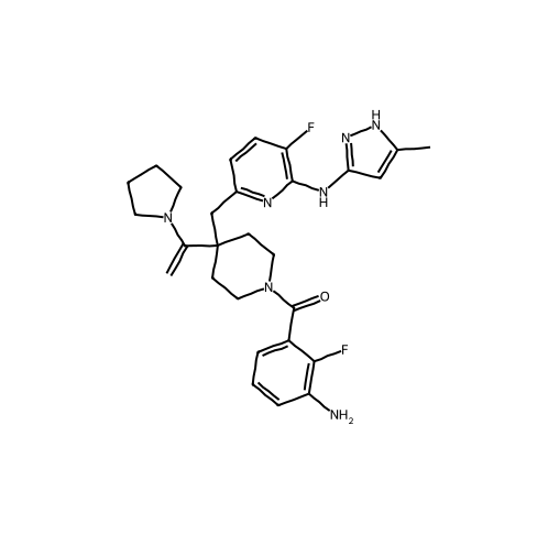 C=C(N1CCCC1)C1(Cc2ccc(F)c(Nc3cc(C)[nH]n3)n2)CCN(C(=O)c2cccc(N)c2F)CC1